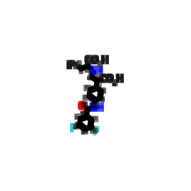 CC(C)C[C@H](NCC(C(=O)O)c1ccc(NC(=O)c2cc(F)cc(F)c2)cc1)C(=O)O